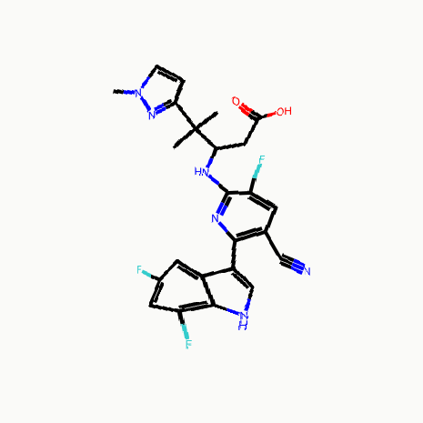 Cn1ccc(C(C)(C)C(CC(=O)O)Nc2nc(-c3c[nH]c4c(F)cc(F)cc34)c(C#N)cc2F)n1